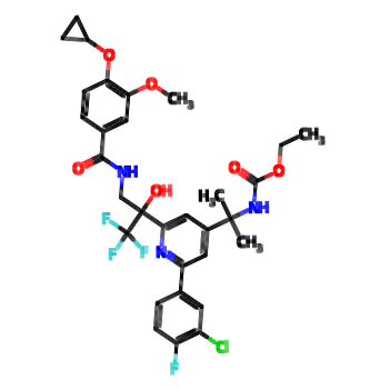 CCOC(=O)NC(C)(C)c1cc(-c2ccc(F)c(Cl)c2)nc(C(O)(CNC(=O)c2ccc(OC3CC3)c(OC)c2)C(F)(F)F)c1